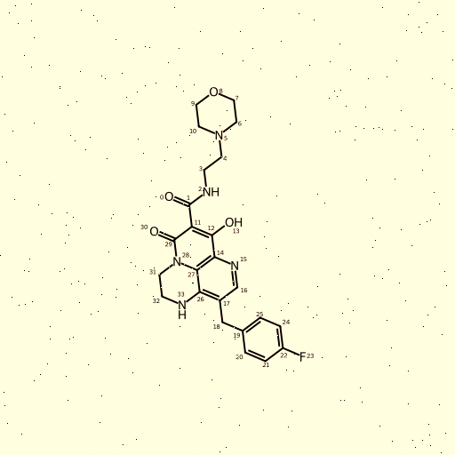 O=C(NCCN1CCOCC1)c1c(O)c2ncc(Cc3ccc(F)cc3)c3c2n(c1=O)CCN3